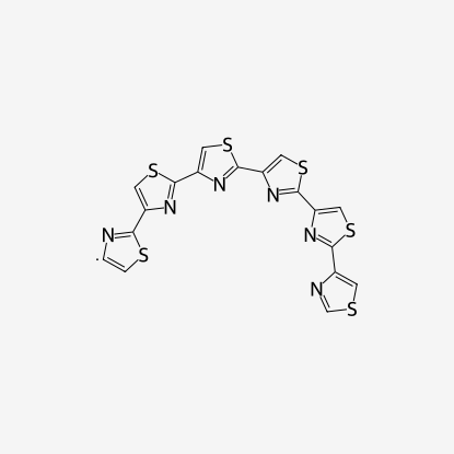 [c]1csc(-c2csc(-c3csc(-c4csc(-c5csc(-c6cscn6)n5)n4)n3)n2)n1